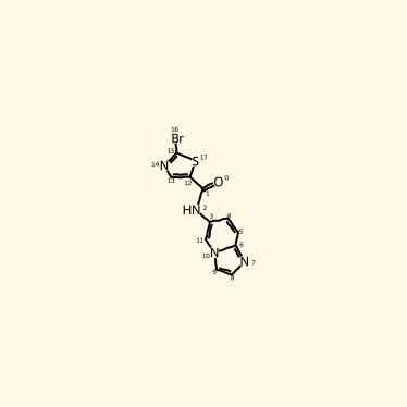 O=C(Nc1ccc2nccn2c1)c1cnc(Br)s1